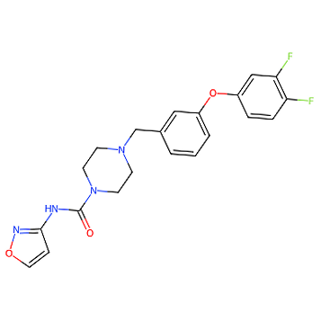 O=C(Nc1ccon1)N1CCN(Cc2cccc(Oc3ccc(F)c(F)c3)c2)CC1